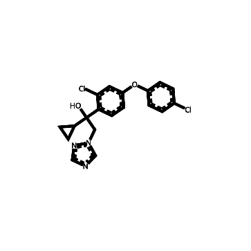 OC(Cn1cncn1)(c1ccc(Oc2ccc(Cl)cc2)cc1Cl)C1CC1